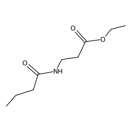 CCCC(=O)NCCC(=O)OCC